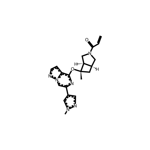 C=CC(=O)N1C[C@H]2C[C@](C)(Oc3nc(-c4cnn(C)c4)cn4nccc34)[C@H]2C1